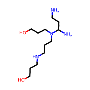 NCCC(N)N(CCCO)CCCNCCCO